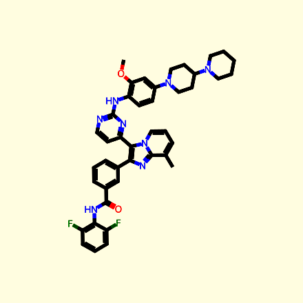 COc1cc(N2CCC(N3CCCCC3)CC2)ccc1Nc1nccc(-c2c(-c3cccc(C(=O)Nc4c(F)cccc4F)c3)nc3c(C)cccn23)n1